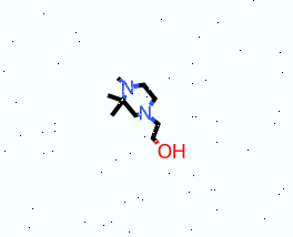 CN1CCN(CCO)CC1(C)C